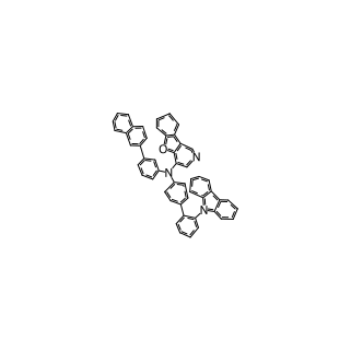 c1cc(-c2ccc3ccccc3c2)cc(N(c2ccc(-c3ccccc3-n3c4ccccc4c4ccccc43)cc2)c2cncc3c2oc2ccccc23)c1